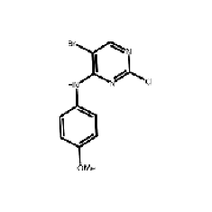 COc1ccc(Nc2nc(Cl)ncc2Br)cc1